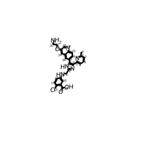 Cc1cccc(-c2nc(CNc3ccc(Cl)c(C(=O)O)c3)[nH]c2-c2ccc3ncc(OCCN)cc3c2)n1